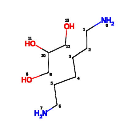 NCCCCCCN.OCC(O)CO